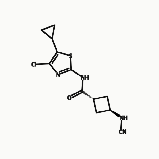 N#CN[C@H]1C[C@H](C(=O)Nc2nc(Cl)c(C3CC3)s2)C1